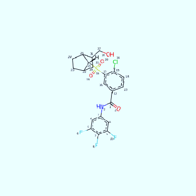 O=C(Nc1cc(F)c(F)c(F)c1)c1ccc(Cl)c(S(=O)(=O)[C@@H]2C3CCC2C(CO)C3)c1